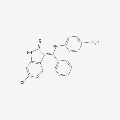 CCOC(=O)c1ccc(N/C(=C2\C(=O)Nc3cc(Cl)ccc32)c2ccccc2)cc1